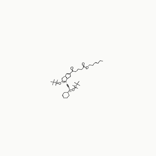 CCCCCCOC(=O)CCCC(=O)C1=CC2C[C@H](O[Si](C)(C)C(C)(C)C)[C@@H](C#C[C@@H](O[Si](C)(C)C(C)(C)C)C3CCCCC3)C2C1